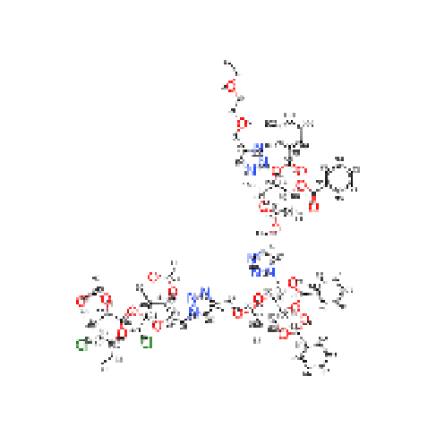 CCOCCOCc1cn(C[C@H]2O[C@H](OCc3cn(C[C@H]4O[C@H](OCc5cn(C[C@H]6OC(CCl)(O[C@H]7O[C@H](CC)[C@H](Cl)[C@H](C)C7OC(C)=O)[C@@H](C)[C@@H]6OC(C)=O)nn5)[C@@H](C)[C@@H](OC(=O)c5ccccc5)[C@@H]4OC(=O)c4ccccc4)nn3)[C@@H](C)[C@@H](OC(=O)c3ccccc3)[C@@H]2OC(=O)c2ccccc2)nn1